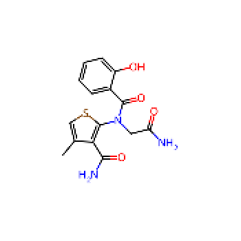 Cc1csc(N(CC(N)=O)C(=O)c2ccccc2O)c1C(N)=O